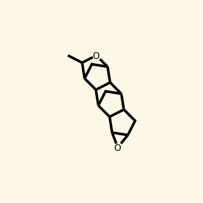 CC1OC2CC1C1C3CC(C4CC5OC5C43)C21